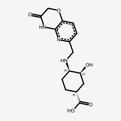 O=C1COc2ccc(CN[C@@H]3CC[C@@H](C(=O)O)C[C@@H]3O)nc2N1